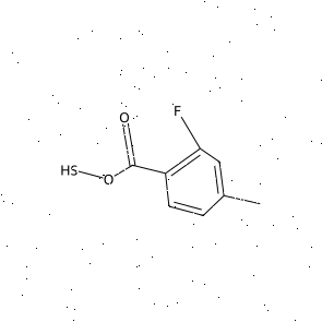 Cc1ccc(C(=O)OS)c(F)c1